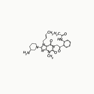 C/C=C/Cn1c(N2CCC[C@H](N)C2)nc2c1c(=O)n(CC(=O)c1ccccc1NC(C)=O)c(=O)n2C